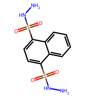 NNS(=O)(=O)c1ccc(S(=O)(=O)NN)c2ccccc12